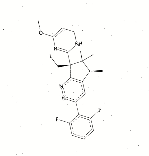 COC1=CCNC([C@@]2(CI)c3nnc(-c4c(F)cccc4F)cc3[C@H](C)C2(C)C)=N1